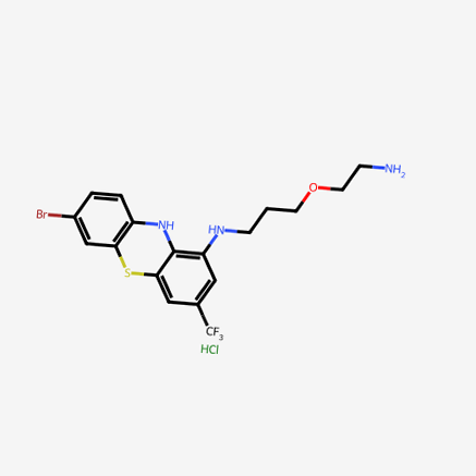 Cl.NCCOCCCNc1cc(C(F)(F)F)cc2c1Nc1ccc(Br)cc1S2